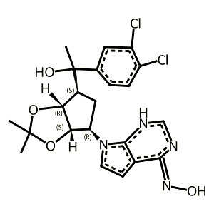 CC1(C)O[C@@H]2[C@H](O1)[C@@H](C(C)(O)c1ccc(Cl)c(Cl)c1)C[C@H]2n1ccc2c(=NO)nc[nH]c21